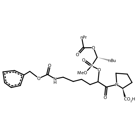 CCCC[C@@H](OC(=O)CCC)P(=O)(OC)OC(CCCCNC(=O)OCc1ccccc1)C(=O)N1CCC[C@H]1C(=O)O